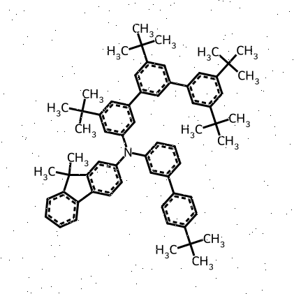 CC(C)(C)c1ccc(-c2cccc(N(c3cc(-c4cc(-c5cc(C(C)(C)C)cc(C(C)(C)C)c5)cc(C(C)(C)C)c4)cc(C(C)(C)C)c3)c3ccc4c(c3)C(C)(C)c3ccccc3-4)c2)cc1